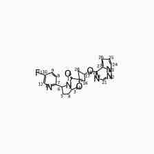 O=C1N2C(CCC2c2ccc(F)cn2)OC12CC(Oc1ncnn3cccc13)C2